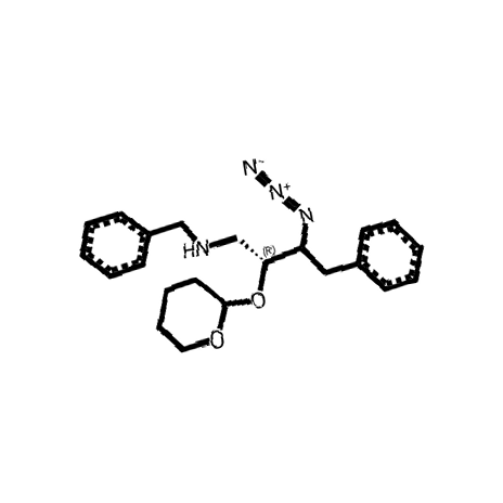 [N-]=[N+]=NC(Cc1ccccc1)[C@@H](CNCc1ccccc1)OC1CCCCO1